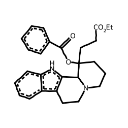 CCOC(=O)CCC1(OC(=O)c2ccccc2)CCCN2CCc3c([nH]c4ccccc34)C21